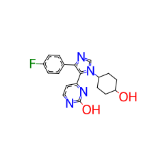 Oc1nccc(-c2c(-c3ccc(F)cc3)ncn2C2CCC(O)CC2)n1